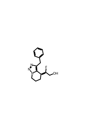 OC/C(F)=C1\CCCn2nnc(Cc3ccccc3)c21